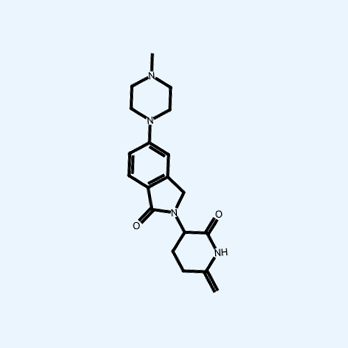 C=C1CCC(N2Cc3cc(N4CCN(C)CC4)ccc3C2=O)C(=O)N1